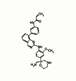 C=CC(=O)Nc1cccc(-c2cccc3cnc(Nc4ccc([C@]5(CN)CNCCO5)cc4OC)nc23)c1